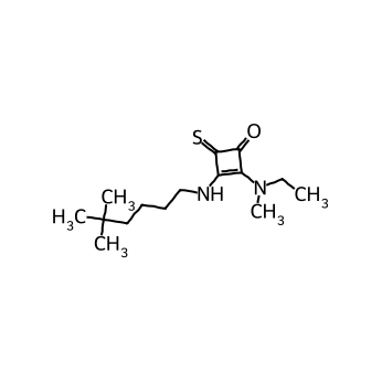 CCN(C)c1c(NCCCCC(C)(C)C)c(=S)c1=O